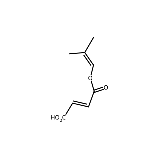 CC(C)=COC(=O)C=CC(=O)O